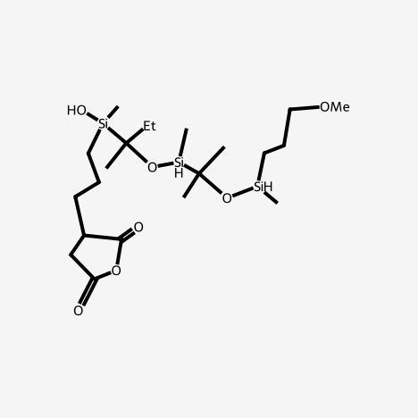 CCC(C)(O[SiH](C)C(C)(C)O[SiH](C)CCCOC)[Si](C)(O)CCCC1CC(=O)OC1=O